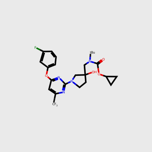 CC(C)(C)N(CC1(O)CCN(c2nc(Oc3cccc(F)c3)cc(C(F)(F)F)n2)C1)C(=O)OC1CC1